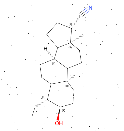 CC[C@@H]1C2CC[C@@H]3C(CC[C@@]4(C)C3CC[C@@H]4C#N)[C@@]2(C)CC[C@H]1O